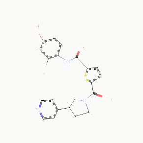 COc1ccc(NC(=O)c2ccc(C(=O)N3CCC(c4ccncc4)C3)s2)c(C)c1